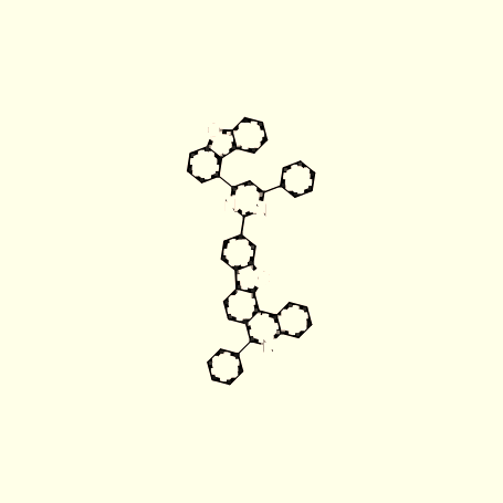 c1ccc(-c2cc(-c3cccc4oc5ccccc5c34)nc(-c3ccc4c(c3)oc3c4ccc4c(-c5ccccc5)nc5ccccc5c43)n2)cc1